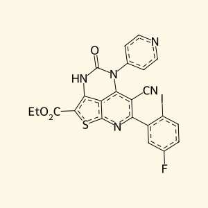 CCOC(=O)c1sc2nc(-c3cc(F)ccc3I)c(C#N)c3c2c1NC(=O)N3c1ccncc1